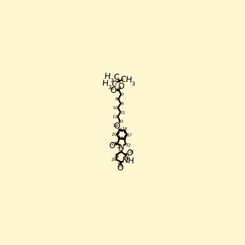 CC(C)(C)OC(=O)CCCCCCCOc1ccc2c(c1)C(=O)N(C1CCC(=O)NC1=O)C2